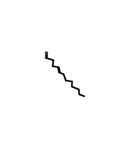 CCCCCCCC=CCC[C]=O